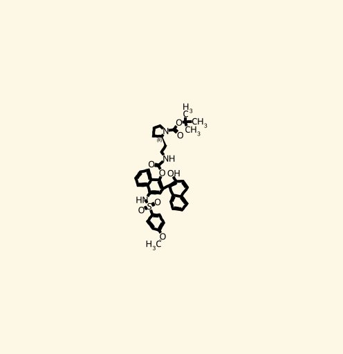 COc1ccc(S(=O)(=O)Nc2cc(-c3c(O)ccc4ccccc34)c(OC(=O)NCC[C@H]3CCCN3C(=O)OC(C)(C)C)c3ccccc23)cc1